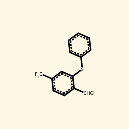 O=Cc1ccc(C(F)(F)F)cc1Sc1ccccc1